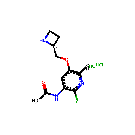 CC(=O)Nc1cc(OC[C@@H]2CCN2)c(C)nc1Cl.Cl.Cl